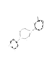 Oc1cccc(N2CCN(c3ccncc3)CC2)c1